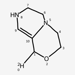 [2H]C1OCCN2CCNC=C12